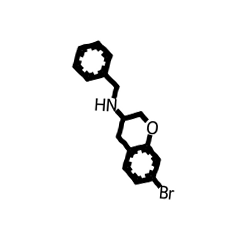 Brc1ccc2c(c1)OCC(NCc1ccccc1)C2